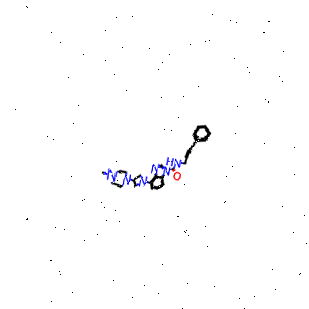 CN1CCN(C2CN(c3cccc4c3ncn4C(=O)NCC#Cc3ccccc3)C2)CC1